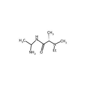 CCN(C)[C@@H](C)C(=O)NC(C)N